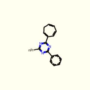 CCCc1nc(C2=CCC=CC=C2)nc(-c2ccccc2)n1